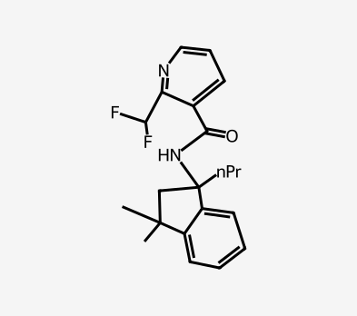 CCCC1(NC(=O)c2cccnc2C(F)F)CC(C)(C)c2ccccc21